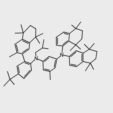 Cc1cc(N(CC(C)C)c2ccc(C(C)(C)C)cc2-c2cc3c(cc2C)C(C)(C)CCC3(C)C)cc(N(c2ccc3c(c2)C(C)(C)CCC3(C)C)c2cccc3c2C(C)(C)CCC3(C)C)c1